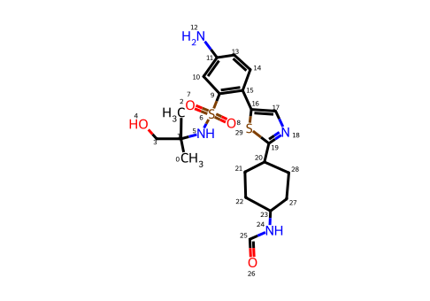 CC(C)(CO)NS(=O)(=O)c1cc(N)ccc1-c1cnc(C2CCC(NC=O)CC2)s1